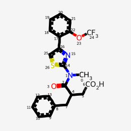 CN(C(=O)C(CC(=O)O)Cc1ccccc1)c1nc(-c2ccccc2OC(F)(F)F)cs1